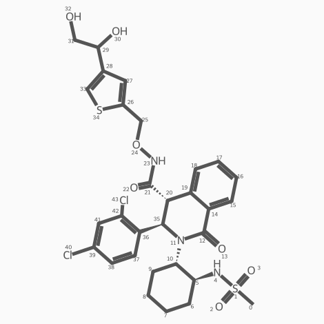 CS(=O)(=O)N[C@H]1CCCC[C@@H]1N1C(=O)c2ccccc2[C@@H](C(=O)NOCc2cc(C(O)CO)cs2)[C@@H]1c1ccc(Cl)cc1Cl